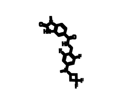 CN(c1cc(F)c(CNC(=O)c2ccc3c(c2)[nH]c(=O)n3C)c(F)c1)C1CC(F)(F)C1